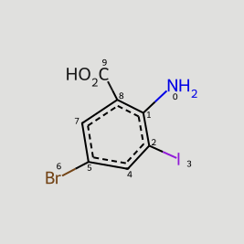 Nc1c(I)cc(Br)cc1C(=O)O